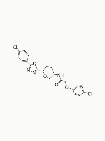 O=C(COc1ccc(Cl)nc1)N[C@@H]1CC[C@@H](c2nnc(-c3ccc(Cl)cc3)o2)OC1